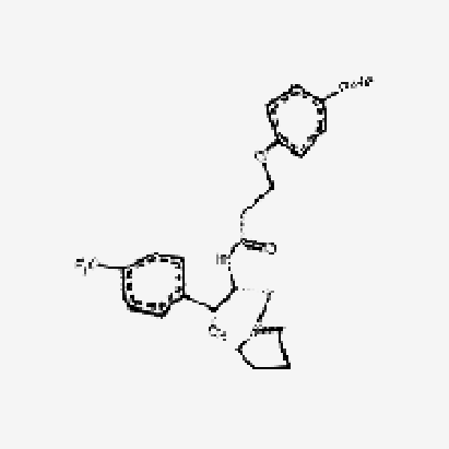 COc1ccc(OCCC(=O)N[C@H](CN2CCCC2)[C@H](O)c2ccc(C(F)(F)F)cc2)cc1